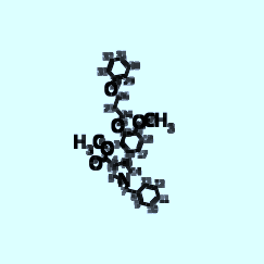 COC(=O)[C@@H]1CN(Cc2ccccc2)C[C@H]1c1ccc(OC)c(OCCCOc2ccccc2)c1